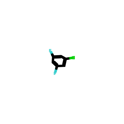 Fc1[c]c(Cl)cc(F)c1